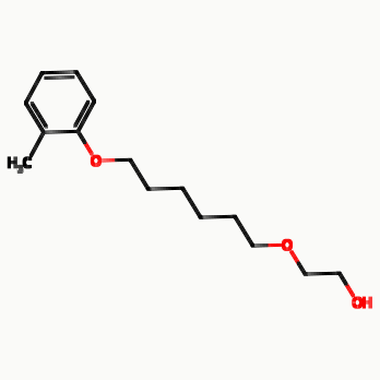 Cc1ccccc1OCCCCCCOCCO